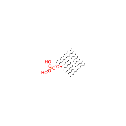 CCCCCCCCCC.CCCCCCCCCC.CCCCCCCCCC.CCCCCCCCCC.CCCCCCCCCC.CCCCCCCCCC.CCCCCCCCCC.OCOP(OCO)OCO